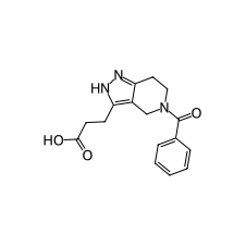 O=C(O)CCc1[nH]nc2c1CN(C(=O)c1ccccc1)CC2